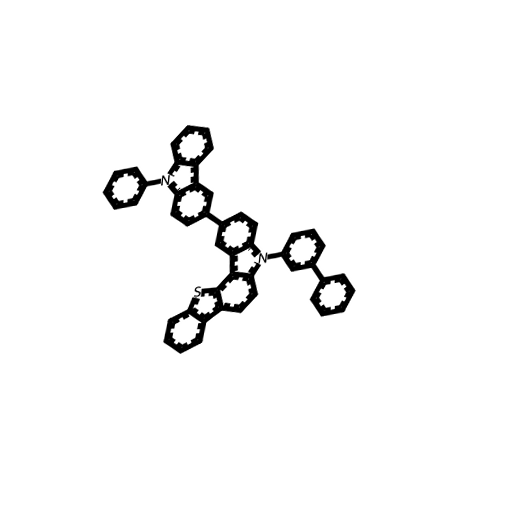 c1ccc(-c2cccc(-n3c4ccc(-c5ccc6c(c5)c5ccccc5n6-c5ccccc5)cc4c4c5sc6ccccc6c5ccc43)c2)cc1